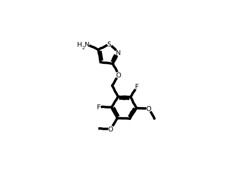 COc1cc(OC)c(F)c(COc2cc(N)sn2)c1F